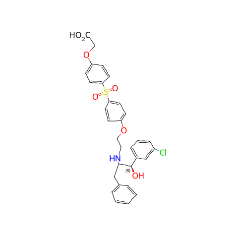 O=C(O)COc1ccc(S(=O)(=O)c2ccc(OCCNC(Cc3ccccc3)[C@H](O)c3cccc(Cl)c3)cc2)cc1